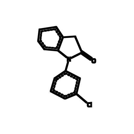 O=C1Cc2ccccc2N1c1cccc(Cl)c1